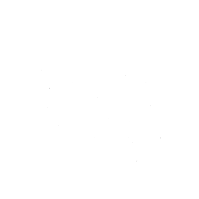 C=Cc1cc(C)ccc1C.C=Cc1ccc(C(C)(C)C)cc1